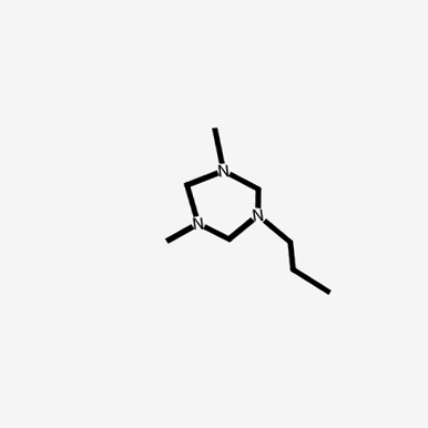 CCCN1CN(C)CN(C)C1